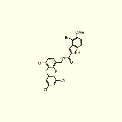 COc1ccc2[nH]c(C(=O)NCc3ccc(Cl)c(Oc4cc(Cl)cc(C#N)c4)c3F)cc2c1Br